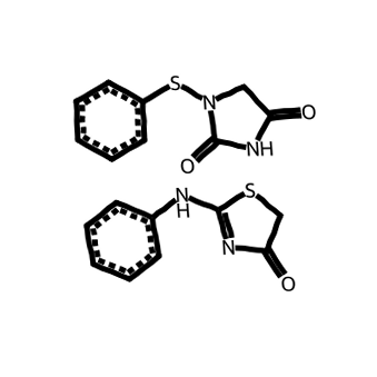 O=C1CN(Sc2ccccc2)C(=O)N1.O=C1CSC(Nc2ccccc2)=N1